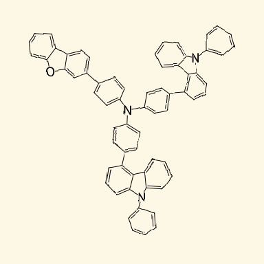 c1ccc(-n2c3ccccc3c3c(-c4ccc(N(c5ccc(-c6ccc7c(c6)oc6ccccc67)cc5)c5ccc(-c6cccc7c6c6ccccc6n7-c6ccccc6)cc5)cc4)cccc32)cc1